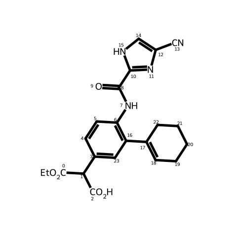 CCOC(=O)C(C(=O)O)c1ccc(NC(=O)c2nc(C#N)c[nH]2)c(C2=CCCCC2)c1